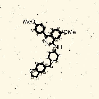 COc1ccc(-c2nnc(NC3CCN(Cc4ccc5c(c4)CCO5)CC3)c3cc(OC)ccc23)cc1